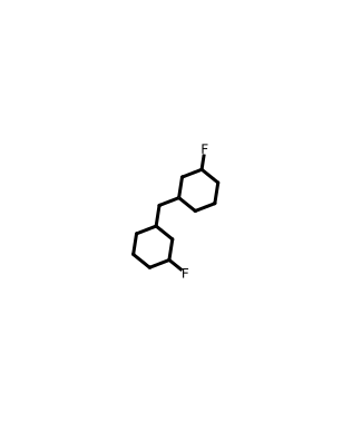 FC1CCCC(CC2CCCC(F)C2)C1